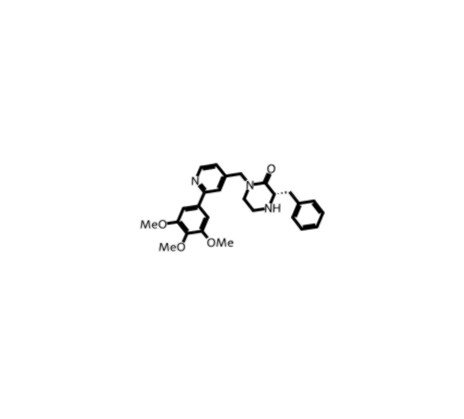 COc1cc(-c2cc(CN3CCN[C@@H](Cc4ccccc4)C3=O)ccn2)cc(OC)c1OC